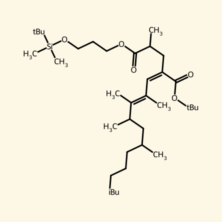 CCC(C)CCCC(C)CC(C)/C(C)=C(C)/C=C(/CC(C)C(=O)OCCCO[Si](C)(C)C(C)(C)C)C(=O)OC(C)(C)C